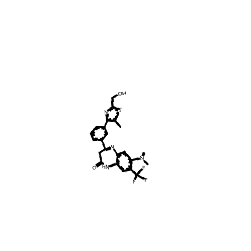 Cc1sc(CO)nc1-c1cccc(C2=Nc3cc(N(C)C)c(C(F)(F)F)cc3NC(=O)C2)c1